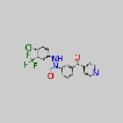 O=CN(Nc1ccc(Cl)c(C(F)(F)F)c1)c1cccc(C(=O)c2ccncc2)c1